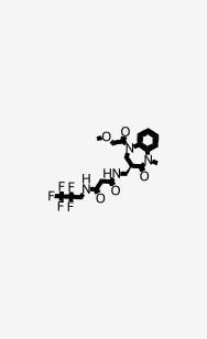 COCC(=O)N1C[C@H](CNC(=O)CC(=O)NCC(F)(F)C(F)(F)F)C(=O)N(C)c2ccccc21